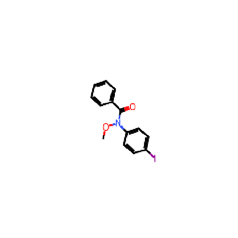 CON(C(=O)c1ccccc1)c1ccc(I)cc1